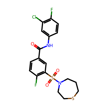 O=C(Nc1ccc(F)c(Cl)c1)c1ccc(F)c(S(=O)(=O)N2CCCSCC2)c1